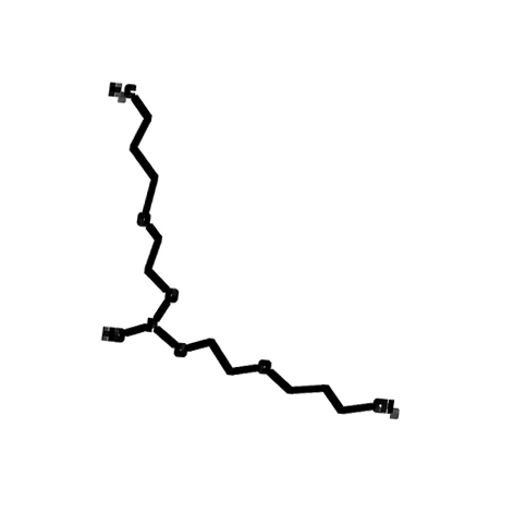 CCCCOCCOP(O)OCCOCCCC